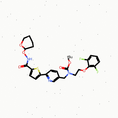 CC(C)(C)OC(=O)N(CCOc1c(F)cccc1F)Cc1ccc(-c2ccc(C(=O)NOC3CCCCO3)s2)nc1